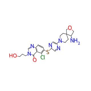 N[C@@H]1COCC12CCN(c1cnc(Sc3ccc4ncn(CCCO)c(=O)c4c3Cl)cn1)CC2